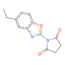 CCc1ccc2oc(N3C(=O)CCC3=O)nc2c1